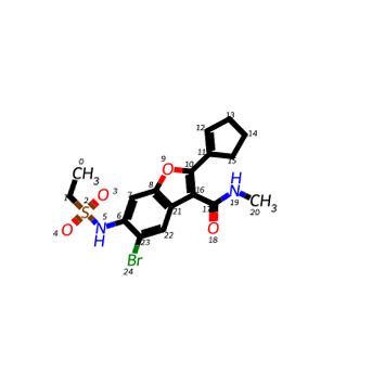 CCS(=O)(=O)Nc1cc2oc(C3=CCCC3)c(C(=O)NC)c2cc1Br